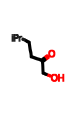 CC(C)CCC(=O)CO